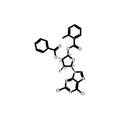 Cc1ccccc1C(=O)O[C@H]1O[C@@H](n2cnc3c(Cl)nc(Cl)nc32)[C@@H](F)[C@@H]1OC(=O)c1ccccc1